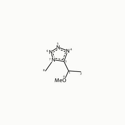 COC(C)c1nnnn1C